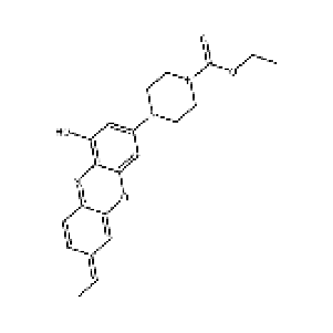 CC=c1ccc2c(c1)Oc1cc(N3CCN(C(=O)OCC)CC3)cc(O)c1N=2